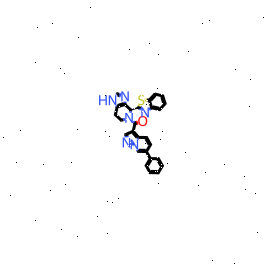 O=C(c1cnn2cc(-c3ccccc3)ccc12)N1CCc2[nH]cnc2[C@H]1c1nc2ccccc2s1